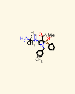 CNC(=O)c1c(NCC(C)(C)N)cn(Cc2ccc(C(F)(F)F)cc2)c1[S@+]([O-])c1ccccc1